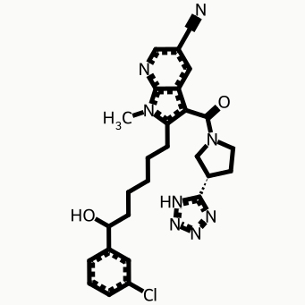 Cn1c(CCCCCC(O)c2cccc(Cl)c2)c(C(=O)N2CC[C@H](c3nnn[nH]3)C2)c2cc(C#N)cnc21